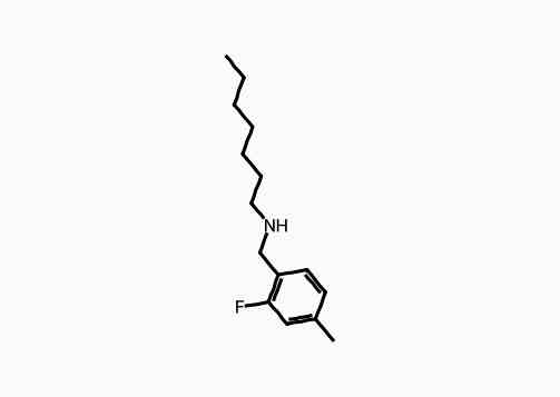 CCCCCCCNCc1ccc(C)cc1F